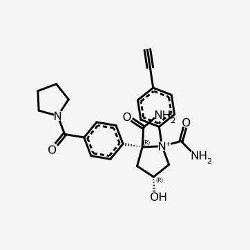 C#Cc1ccc([N+]2(C(N)=O)C[C@H](O)C[C@]2(C(N)=O)c2ccc(C(=O)N3CCCC3)cc2)cc1